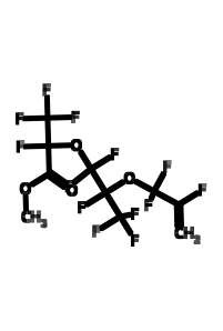 C=C(F)C(F)(F)OC(F)(C(F)(F)F)C(F)(F)OC(F)(C(=O)OC)C(F)(F)F